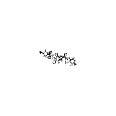 Cc1c(=O)n(CCS(=O)(=O)c2ccc(F)cc2)c(=O)n2cc(C(=O)NCc3ccc(F)cc3)sc12